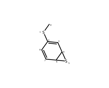 CSC1=CC2SC2C=C1